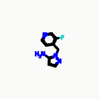 Nc1ccnn1Cc1ccncc1F